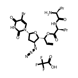 C=CC(OC(=O)[C@@H](NC(=O)[C@@H](N)C(C)C)C(C)C)[C@H]1O[C@@H](n2cc(Br)c(=O)[nH]c2=O)C[C@@H]1N=[N+]=[N-].O=C(O)C(F)(F)F